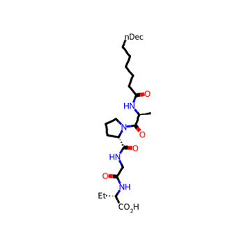 CCCCCCCCCCCCCCCC(=O)N[C@@H](C)C(=O)N1CCC[C@H]1C(=O)NCC(=O)N[C@@H](CC)C(=O)O